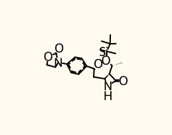 C[C@@H](O[Si](C)(C)C(C)(C)C)[C@H]1C(=O)NC1CC(=O)c1ccc(N2CCOC2=O)cc1